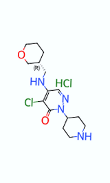 Cl.O=c1c(Cl)c(NC[C@H]2CCCOC2)cnn1C1CCNCC1